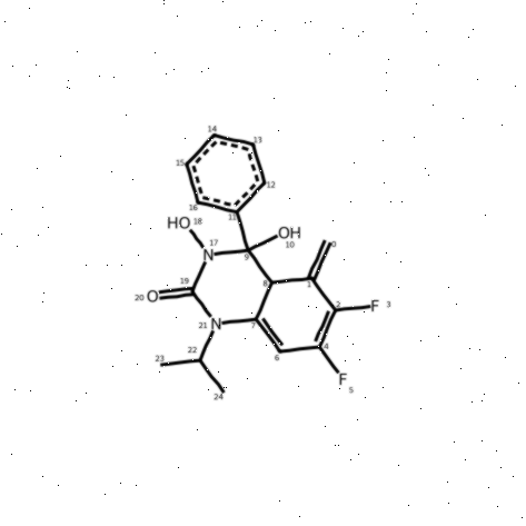 C=C1C(F)=C(F)C=C2C1C(O)(c1ccccc1)N(O)C(=O)N2C(C)C